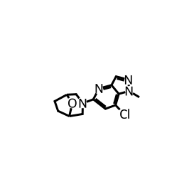 Cn1ncc2nc(N3CC4CCC(C3)O4)cc(Cl)c21